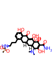 CN(C)[C@@H]1C(O)=C(C(N)=O)C(=O)[C@@]2(O)C(O)=C3C(=O)c4c(O)ccc(CCCNS(C)(=O)=O)c4C[C@H]3C[C@@H]12